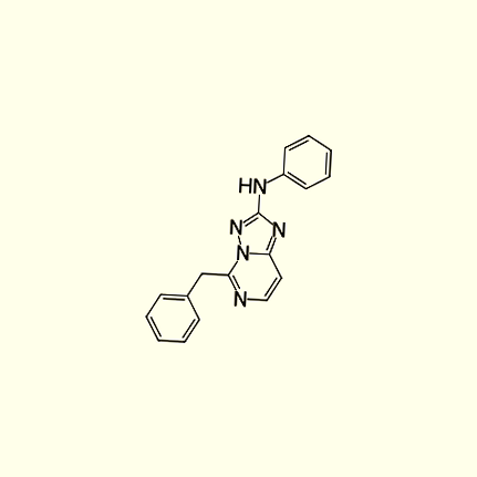 c1ccc(Cc2nccc3nc(Nc4ccccc4)nn23)cc1